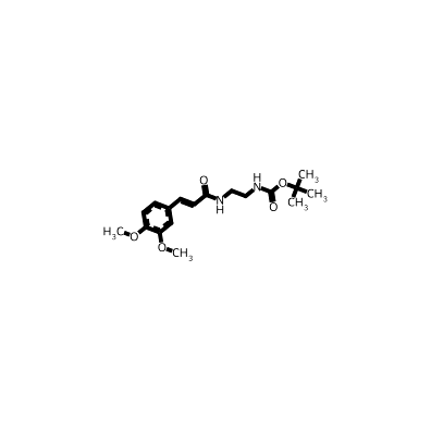 COc1ccc(/C=C/C(=O)NCCNC(=O)OC(C)(C)C)cc1OC